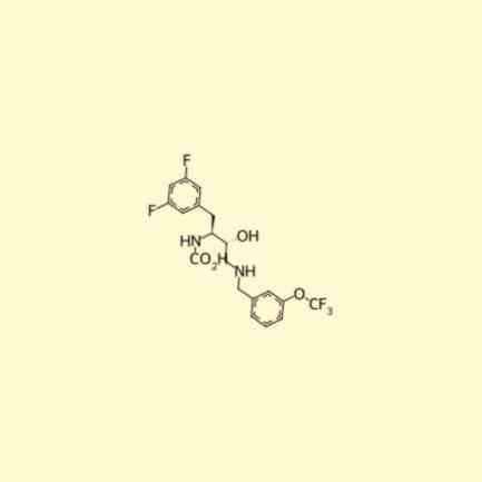 O=C(O)N[C@@H](Cc1cc(F)cc(F)c1)[C@H](O)CNCc1cccc(OC(F)(F)F)c1